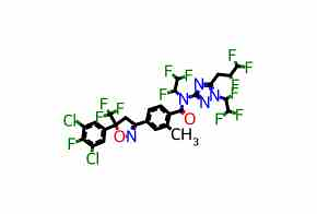 Cc1cc(C2=NOC(c3cc(Cl)c(F)c(Cl)c3)(C(F)(F)F)C2)ccc1C(=O)N(c1nc(CC(F)C(F)F)n(C(F)C(F)F)n1)C(F)C(F)F